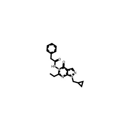 CCc1nc2c(cnn2CC2CC2)c(=O)n1NC(=O)Cc1ccccc1